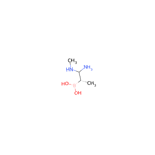 CNC(N)[C@H](C)B(O)O